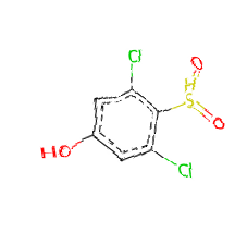 O=[SH](=O)c1c(Cl)cc(O)cc1Cl